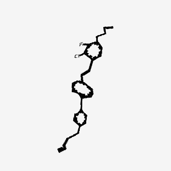 C=CCCc1ccc(-c2ccc(CCc3ccc(CCC=C)c(F)c3Cl)cc2)cc1